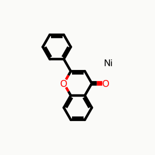 O=c1cc(-c2ccccc2)oc2ccccc12.[Ni]